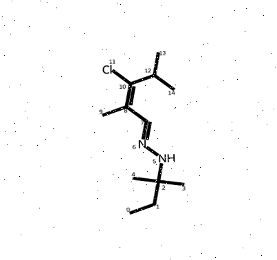 CCC(C)(C)N/N=C/C(C)=C(/Cl)C(C)C